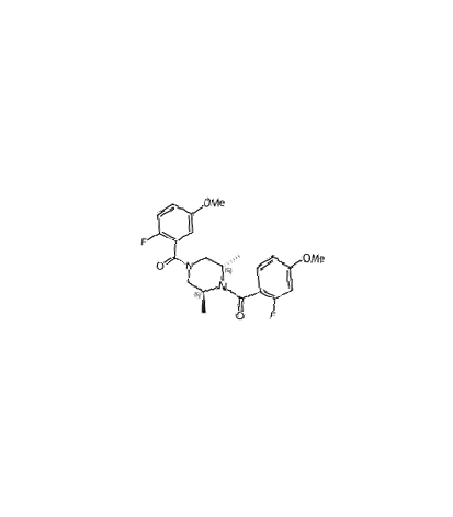 COc1ccc(C(=O)N2[C@@H](C)CN(C(=O)c3cc(OC)ccc3F)C[C@@H]2C)c(F)c1